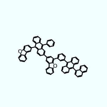 c1ccc(-c2c3ccccc3c(-c3ccc4oc5ccccc5c4c3)c3ccc(-c4cc(-c5cccc(-c6c7ccccc7c(-c7cccc8ccccc78)c7ccccc67)c5)c5oc6ccccc6c5c4)cc23)cc1